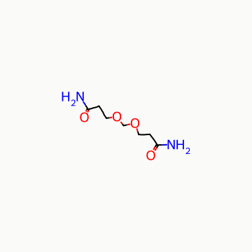 NC(=O)CCOCOCCC(N)=O